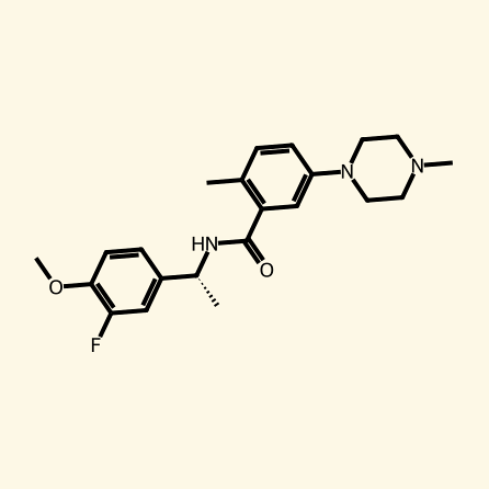 COc1ccc([C@@H](C)NC(=O)c2cc(N3CCN(C)CC3)ccc2C)cc1F